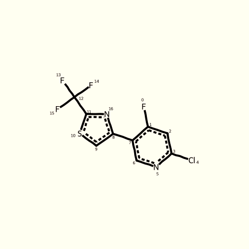 Fc1cc(Cl)ncc1-c1csc(C(F)(F)F)n1